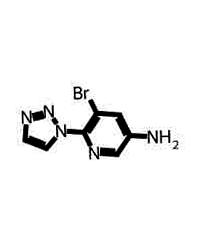 Nc1cnc(-n2ccnn2)c(Br)c1